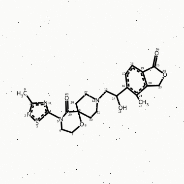 Cc1nsc(N2CCOC3(CCN(CC(O)c4ccc5c(c4C)COC5=O)CC3)C2=O)n1